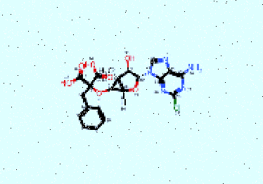 C[C@@]12C(OC(Cc3ccccc3)(C(=O)O)C(=O)O)[C@H]1O[C@@H](n1cnc3c(N)nc(Cl)nc31)[C@@H]2O